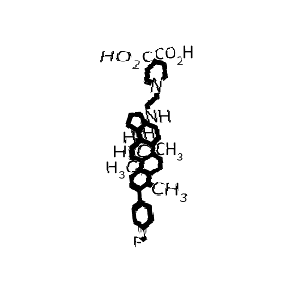 CC1C(C2=CC[C@H](CF)CC2)=CC[C@@]2(C)C1CC[C@]1(C)C2CC[C@@H]2[C@H]3CCC[C@]3(NCCN3CCC(C(=O)O)(C(=O)O)CC3)CC[C@]21C